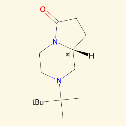 CC(C)(C)C(C)(C)N1CCN2C(=O)CC[C@@H]2C1